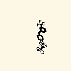 COC(=O)c1cnc(N2CCC(Cc3cccc(C(F)(F)F)c3)CC2)s1